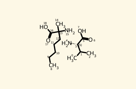 CC(C)[C@H](N)C(=O)O.CCCCCC(C)(N)C(=O)O